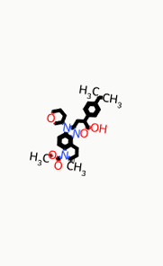 COC(=O)N1c2ccc3c(nc(CC(C(=O)O)c4ccc(C(C)C)cc4)n3C3CCCOC3)c2CC[C@@H]1C